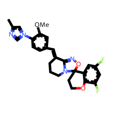 COc1cc(C=C2CCCN3C2=NOC32CCOc3c(F)cc(F)cc32)ccc1-n1cnc(C)c1